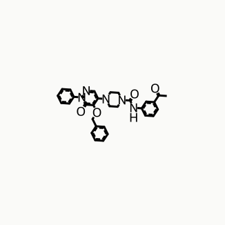 CC(=O)c1cccc(NC(=O)N2CCN(c3cnn(-c4ccccc4)c(=O)c3OCc3ccccc3)CC2)c1